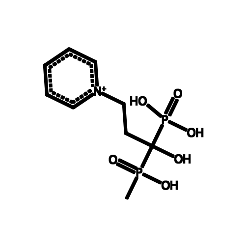 CP(=O)(O)C(O)(CC[n+]1ccccc1)P(=O)(O)O